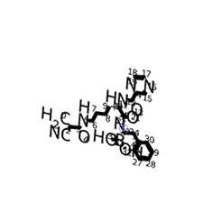 C=C(C#N)C(=O)NCCCC[C@H](NC(=O)c1cnccn1)C(=O)/N=C(\Cc1ccccc1)B(O)O